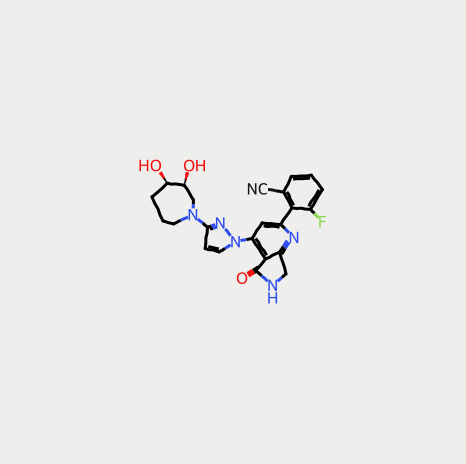 N#Cc1cccc(F)c1-c1cc(-n2ccc(N3CCC[C@@H](O)[C@@H](O)C3)n2)c2c(n1)CNC2=O